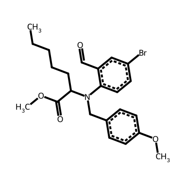 CCCCCC(C(=O)OC)N(Cc1ccc(OC)cc1)c1ccc(Br)cc1C=O